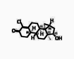 C[C@]12CC[C@H]3[C@@H](CCC4=C(Cl)C(=O)CC[C@@H]43)[C@]13C[C@@H]3C[C@H]2O